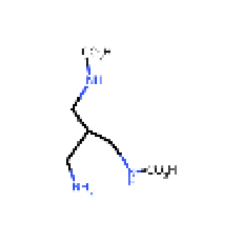 NCC(CNC(=O)O)CNC(=O)O